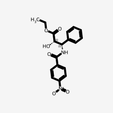 CCOC(=O)[C@@H](O)[C@@H](NC(=O)c1ccc([N+](=O)[O-])cc1)c1ccccc1